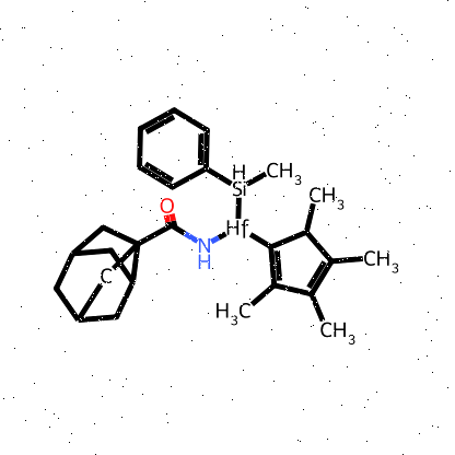 CC1=C(C)C(C)[C]([Hf]([NH]C(=O)C23CC4CC(CC2C4)C3)[SiH](C)c2ccccc2)=C1C